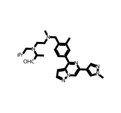 Cc1cc(-c2nc(-c3cnn(C)c3)cn3nccc23)ccc1CN(C)CCN(CC(C)C)C(C)C=O